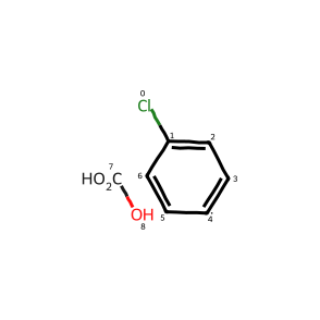 Clc1cc[c]cc1.O=C(O)O